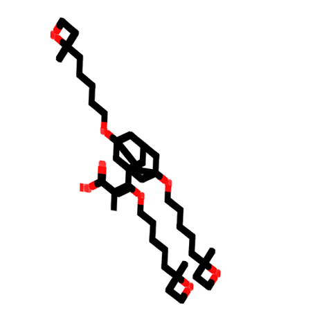 CC(C(=O)O)=C(OCCCCCC1(C)CCO1)C12CC3CC(OCCCCCC4(C)CCO4)(CC(OCCCCCC4(C)CCO4)(C3)C1)C2